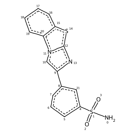 NS(=O)(=O)c1cccc(-c2cn3c(n2)sc2ccccc23)c1